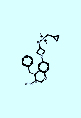 CN[C@@H]1COc2ccc(N3CC(NS(=O)(=O)CC4CC4)C3)cc2[C@@H]1Cc1ccccc1